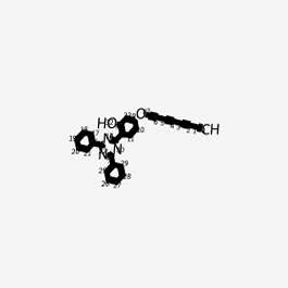 C#CC#CC#CC#COc1ccc(-c2nc(-c3ccccc3)nc(-c3ccccc3)n2)c(O)c1